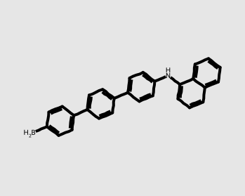 Bc1ccc(-c2ccc(-c3ccc(Nc4cccc5ccccc45)cc3)cc2)cc1